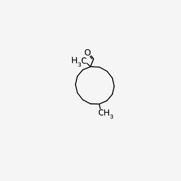 CC1CCCCCCC(C)(C=O)CCCCCC1